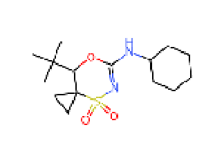 CC(C)(C)C1OC(NC2CCCCC2)=NS(=O)(=O)C12CC2